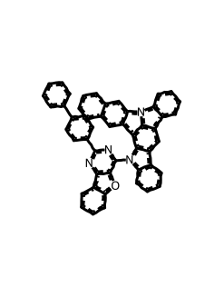 c1ccc(-c2ccc(-c3nc(-n4c5ccccc5c5cc6c7ccccc7n7c8cc9ccccc9cc8c(c54)c67)c4oc5ccccc5c4n3)cc2)cc1